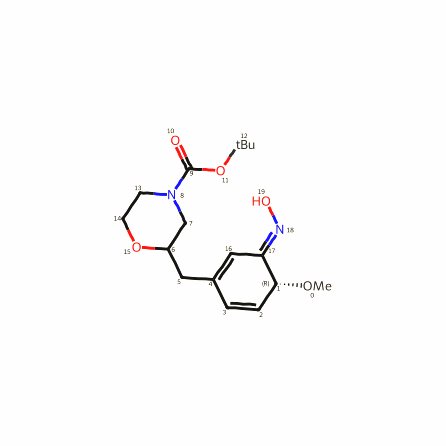 CO[C@@H]1C=CC(CC2CN(C(=O)OC(C)(C)C)CCO2)=CC1=NO